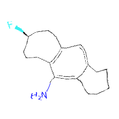 Nc1c2c(cc3c1C[C@@H](F)C3)CCC2